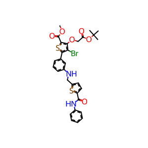 COC(=O)c1sc(-c2cccc(NCc3ccc(C(=O)Nc4ccccc4)s3)c2)c(Br)c1OCC(=O)OC(C)(C)C